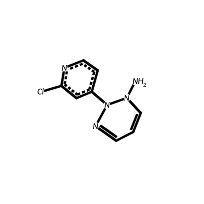 NN1C=CC=NN1c1ccnc(Cl)c1